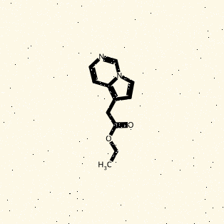 CCOC(=O)Cc1ccn2cnccc12